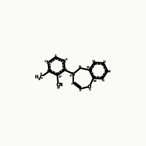 Cc1ncnc(N2C=COc3ccccc3C2)c1C#N